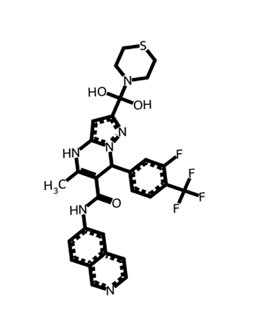 CC1=C(C(=O)Nc2ccc3cnccc3c2)C(c2ccc(C(F)(F)F)c(F)c2)n2nc(C(O)(O)N3CCSCC3)cc2N1